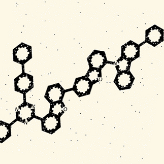 c1ccc(-c2ccc(-c3nc(-c4ccccc4)nc(-c4cccc5oc6c(-c7ccc8oc9c(-n%10c%11ccccc%11c%11cc(-c%12ccccc%12)ccc%11%10)cccc9c8c7)cccc6c45)n3)cc2)cc1